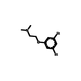 CCc1cc(CC)cc(OCCN(C)C)c1